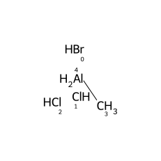 Br.Cl.Cl.[CH3][AlH2]